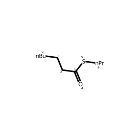 CCCCCCC(=O)SCCC